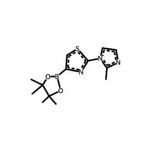 Cc1nccn1-c1nc(B2OC(C)(C)C(C)(C)O2)cs1